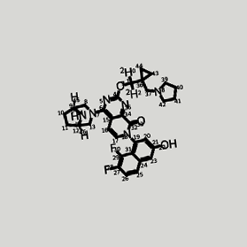 [2H]C([2H])(Oc1nc(N2C[C@H]3CC[C@@H](C2)N3)c2ccn(-c3cc(O)cc4ccc(F)c(F)c34)c(=O)c2n1)C1(CN2CCCC2)CC1